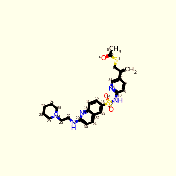 C=C(CSC(C)=O)c1ccc(NS(=O)(=O)c2ccc3nc(NCCN4CCCCC4)ccc3c2)nc1